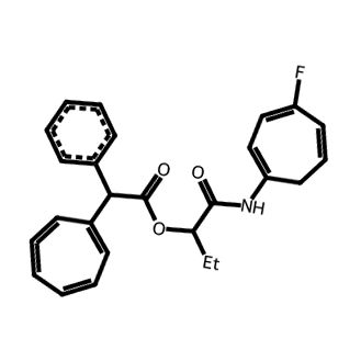 CCC(OC(=O)C(C1=CC=CC=C=C1)c1ccccc1)C(=O)NC1=CC=C(F)C=CC1